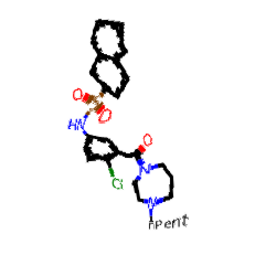 CCCCCN1CCCN(C(=O)c2cc(NS(=O)(=O)c3ccc4ccccc4c3)ccc2Cl)CC1